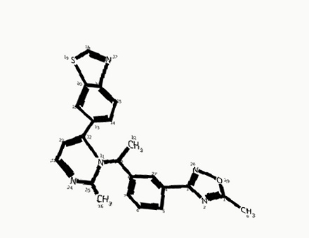 Cc1nc(-c2cccc(C(C)N3C(c4ccc5ncsc5c4)=CC=NC3C)c2)no1